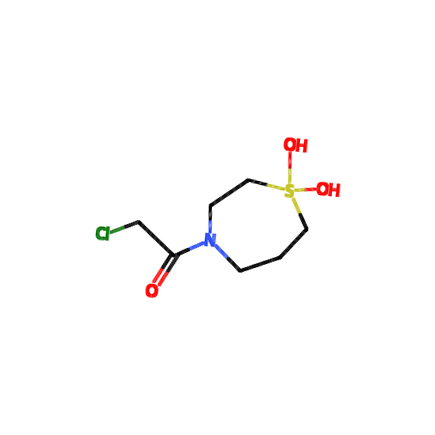 O=C(CCl)N1CCCS(O)(O)CC1